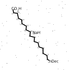 CCCCCCCCCCCCCCCCCCCCCCCCCCCC(=O)O.[NaH]